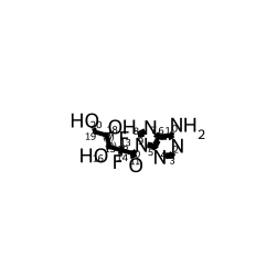 Nc1ncnc2c1ncn2C(=O)C(F)(F)[C@H](O)[C@H](O)CO